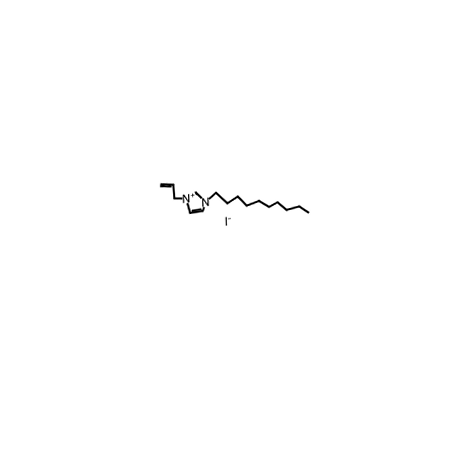 C=CC[n+]1ccn(CCCCCCCCCC)c1.[I-]